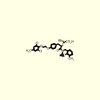 Cc1cc(Cl)c(OCCOc2ccc(CC(CN(C(=O)O)C(C)(C)C)C(=O)N(Cc3cccc(C)c3C)C3CC3)cc2)c(Cl)c1